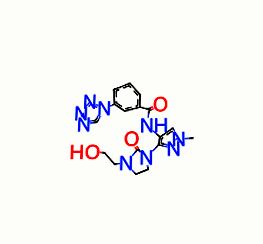 Cn1cc(NC(=O)c2cccc(-n3cnnn3)c2)c(N2CCN(CCO)C2=O)n1